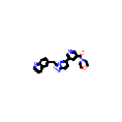 O=C(c1cncc(-c2ccc3nnc(Cc4ccc5ncccc5c4)n3n2)c1)N1CCOCC1